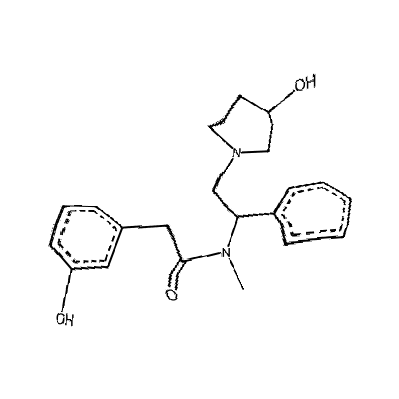 CN(C(=O)Cc1cccc(O)c1)C(CN1CCC(O)C1)c1ccccc1